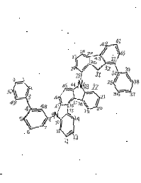 c1ccc(-c2cccc(-n3c4ccccc4c4c5c6ccccc6n(-c6cccc7c6Cc6c(-c8ccccc8)cccc6-7)c5ccc43)c2)cc1